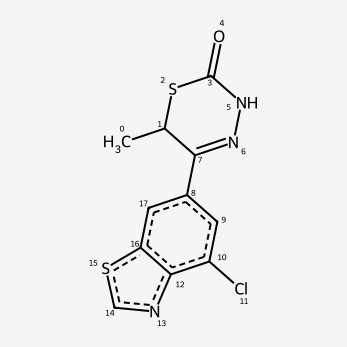 CC1SC(=O)NN=C1c1cc(Cl)c2ncsc2c1